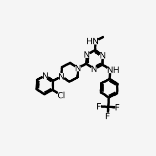 CNc1nc(Nc2ccc(C(F)(F)F)cc2)nc(N2CCN(c3ncccc3Cl)CC2)n1